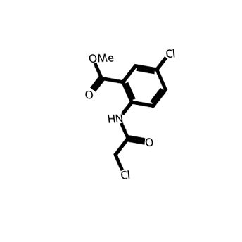 COC(=O)c1cc(Cl)ccc1NC(=O)CCl